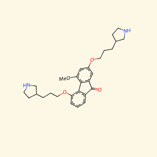 COc1cc(OCCCC2CCNC2)cc2c1-c1c(OCCCC3CCNC3)cccc1C2=O